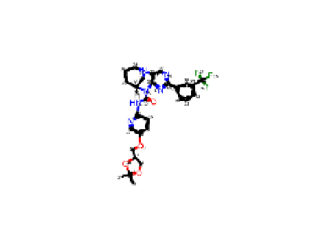 CC1(C)OCC(COc2ccc(NC(=O)N3c4nc(-c5cccc(C(F)(F)F)c5)ncc4N4CCC[C@H]3C4)nc2)O1